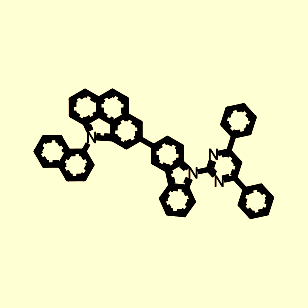 c1ccc(-c2cc(-c3ccccc3)nc(-n3c4ccccc4c4cc(-c5cc6ccc7cccc8c7c6c(c5)n8-c5cccc6ccccc56)ccc43)n2)cc1